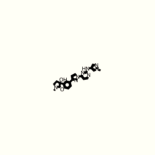 CN1CC[C@@](O)(c2cccc(-c3ccn(-c4ccnc(Nc5cnn(C)c5)n4)n3)c2)C1=O